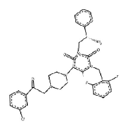 Cc1c(N2CCN(CC(=O)c3cccc(Cl)c3)CC2)c(=O)n(C[C@@H](N)c2ccccc2)c(=O)n1Cc1c(F)cccc1F